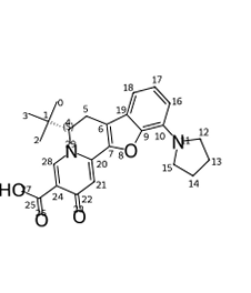 CC(C)(C)[C@@H]1Cc2c(oc3c(N4CCCC4)cccc23)-c2cc(=O)c(C(=O)O)cn21